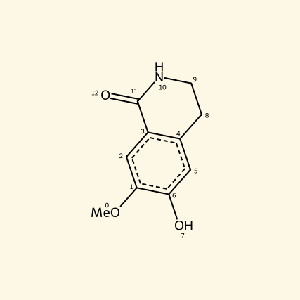 COc1cc2c(cc1O)CCNC2=O